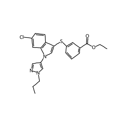 CCCn1cc(-n2cc(Sc3cccc(C(=O)OCC)c3)c3ccc(Cl)cc32)cn1